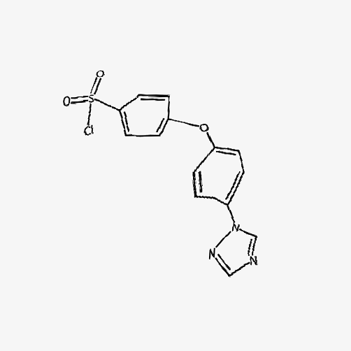 O=S(=O)(Cl)c1ccc(Oc2ccc(-n3cncn3)cc2)cc1